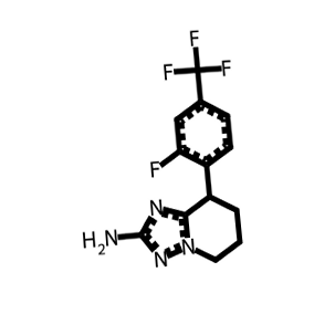 Nc1nc2n(n1)CCCC2c1ccc(C(F)(F)F)cc1F